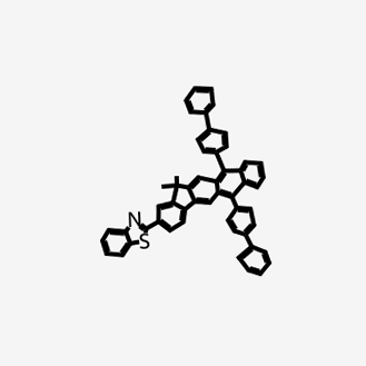 CC1(C)c2cc(-c3nc4ccccc4s3)ccc2-c2cc3c(-c4ccc(-c5ccccc5)cc4)c4ccccc4c(-c4ccc(-c5ccccc5)cc4)c3cc21